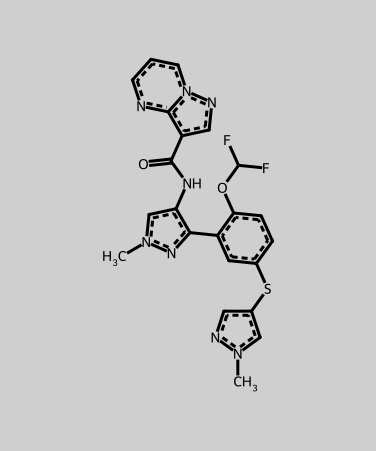 Cn1cc(Sc2ccc(OC(F)F)c(-c3nn(C)cc3NC(=O)c3cnn4cccnc34)c2)cn1